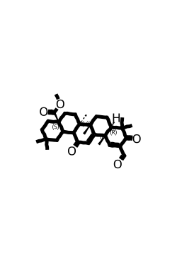 COC(=O)[C@]12CCC(C)(C)CC1C1C(=O)C=C3[C@@]4(C)C=C(C=O)C(=O)C(C)(C)[C@@H]4CC[C@@]3(C)[C@]1(C)CC2